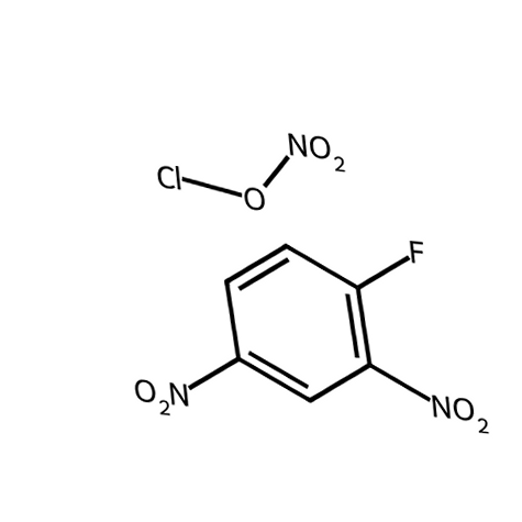 O=[N+]([O-])OCl.O=[N+]([O-])c1ccc(F)c([N+](=O)[O-])c1